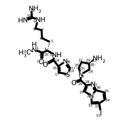 CNC(=O)[C@H](CCCCNC(=N)N)NC(=O)c1csc([C@@H]2C[C@@H](N)CN2C(=O)c2cn3cc(I)ccc3n2)n1